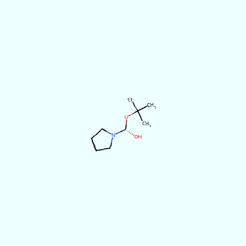 CCC(C)(C)O[C@H](O)N1CCCC1